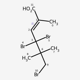 C/C(=C\C(Br)(Br)C(C)(C)CBr)C(=O)O